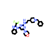 FC(F)c1nc2ccccc2n1-c1cc(N2CCOCC2)nc(NCCC2CCN(Cc3ccccc3)CC2)n1